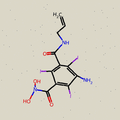 C=CCNC(=O)c1c(I)c(N)c(I)c(C(=O)N(O)O)c1I